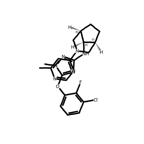 Cc1cc(N2C[C@H]3CC[C@@H](C2)[C@H]3Nc2nc(Oc3cccc(Cl)c3F)n(C)n2)ncn1